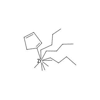 CCC[CH2][Zr]([CH3])([CH3])([CH3])([CH3])([CH3])([CH2]CCC)([CH2]CCC)[C]1=CC=CC1